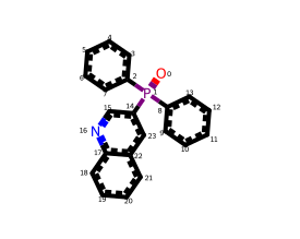 O=P(c1ccccc1)(c1ccccc1)c1cnc2ccccc2c1